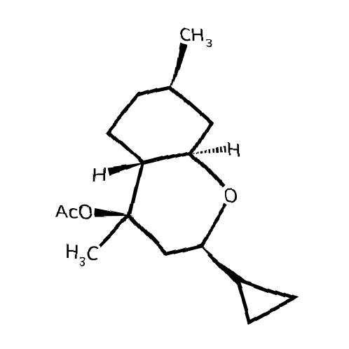 CC(=O)O[C@]1(C)C[C@H](C2CC2)O[C@@H]2C[C@H](C)CC[C@H]21